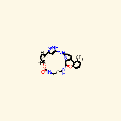 O=C1NCCCNC(=O)c2nc(ccc2-c2ccccc2C(F)(F)F)Nc2cc(n[nH]2)[C@H]2CC[C@H](C2)O1